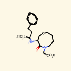 CCOC(=O)C(CCc1ccccc1)NC1CCCCCCN(CC(=O)O)C1=O